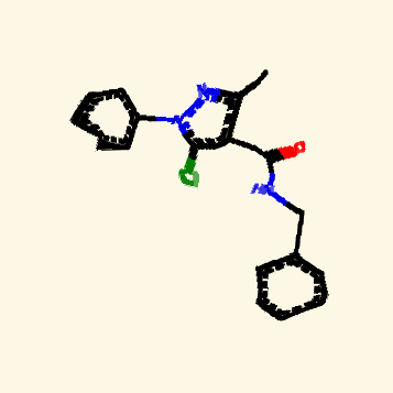 Cc1nn(-c2ccccc2)c(Cl)c1C(=O)NCc1ccccc1